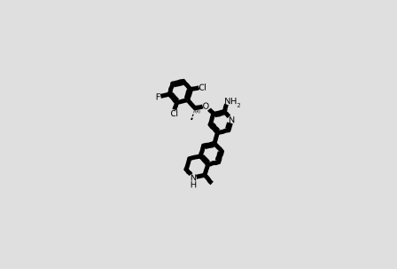 CC1NCCc2cc(-c3cnc(N)c(O[C@H](C)c4c(Cl)ccc(F)c4Cl)c3)ccc21